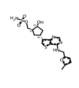 Cc1ccc(CNc2ncnc3c([C@@H]4C[C@@H](COS(N)(=O)=O)[C@@H](O)C4)csc23)o1